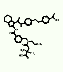 CCCN(Cc1cccc(C(=O)Nc2sc3c(c2C(=O)Nc2ccc(CCc4ccc(C(=O)O)cc4)cc2)CCCC3)c1)C(=O)CC(C)(C)C(=O)O